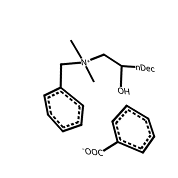 CCCCCCCCCCC(O)C[N+](C)(C)Cc1ccccc1.O=C([O-])c1ccccc1